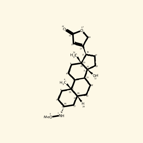 CON[C@@H]1CC[C@]2(C)C3CC[C@]4(C)[C@@H](C5=CC(=O)OC5)CC[C@]4(O)C3CC[C@@H]2C1